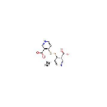 O=C([O-])c1cnccc1SSc1ccncc1C(=O)[O-].[Na+].[Na+]